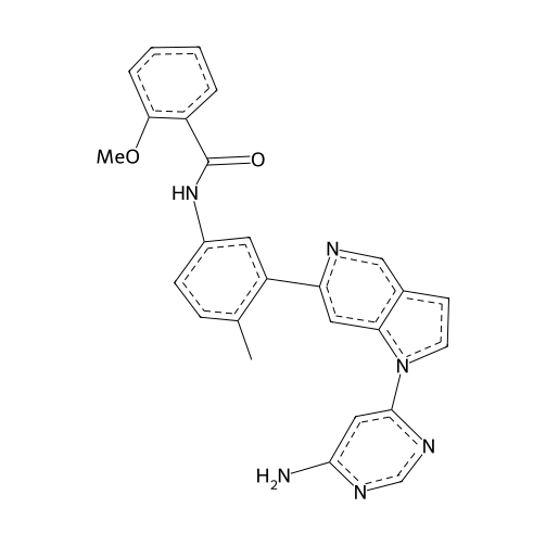 COc1ccccc1C(=O)Nc1ccc(C)c(-c2cc3c(ccn3-c3cc(N)ncn3)cn2)c1